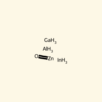 [AlH3].[GaH3].[InH3].[O]=[Zn]